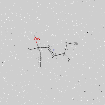 C#CC(C)(O)/C=C/C(C)CC